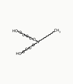 CCCCCCCCCCCCCCCCN(CCCOCCOCCOCCOCCO)CCOCCOCCOCCOCCOCCO